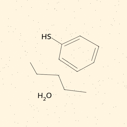 CCCCC.O.Sc1ccccc1